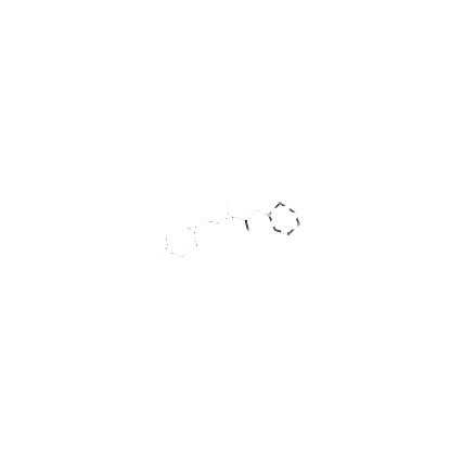 CN1CCN(CCNC(=O)[CH]c2ccccc2)CC1